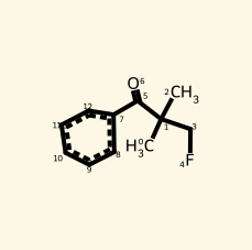 CC(C)(CF)C(=O)c1ccccc1